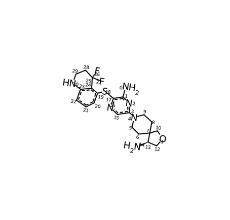 Nc1nc(N2CCC3(CC2)COC[C@H]3N)cnc1Sc1cccc2c1C(F)(F)CCN2